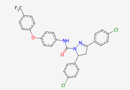 O=C(Nc1ccc(Oc2ccc(C(F)(F)F)cc2)cc1)N1N=C(c2ccc(Cl)cc2)CC1c1ccc(Cl)cc1